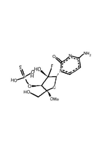 CO[C@]1(CO)O[C@@H](n2ccc(N)nc2=O)[C@@](O)(F)[C@@H]1OP(O)(O)=S